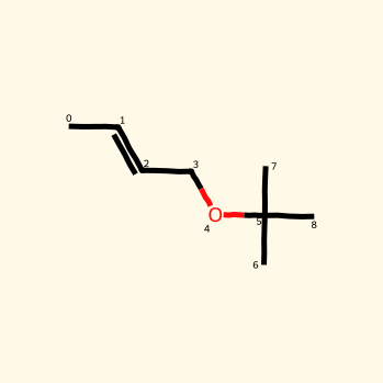 CC=CCOC(C)(C)C